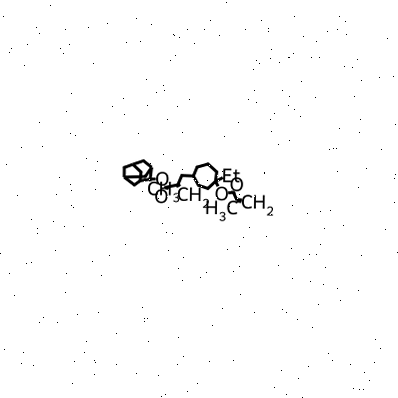 C=C(C)C(=O)OC1(CC)CCCC(CC(=C)C(=O)OC2(C)C3CC4CC(C3)CC2C4)CC1